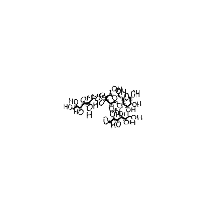 O=C[C@H](O)[C@@H](O)[C@H](O)[C@H](O)CO.OC[C@@H](O)[C@@H](O)[C@H](O)[C@H](O)CO.OC[C@H]1O[C@H](O[C@H]2[C@H](O)[C@@H](O)[C@H](O)O[C@@H]2CO)[C@H](O)[C@@H](O)[C@@H]1O